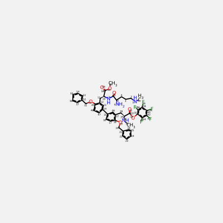 CNCCCC(N)C(=O)N[C@@H](Cc1cc(-c2ccc(OCc3ccccc3)c(C[C@H](NC)C(=O)Oc3c(F)c(F)c(F)c(F)c3F)c2)ccc1OCc1ccccc1)C(=O)OC